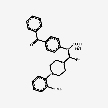 CCC(N1CCN(c2ccccc2OC)CC1)N(C(=O)O)c1ccc(C(=O)c2ccccc2)cc1.Cl